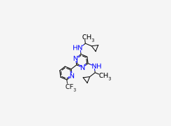 CC(Nc1cc(NC(C)C2CC2)nc(-c2cccc(C(F)(F)F)n2)n1)C1CC1